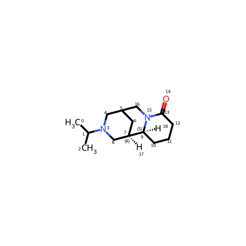 CC(C)N1CC2C[C@H](C1)[C@@H]1CCCC(=O)N1C2